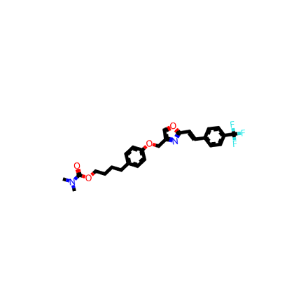 CN(C)C(=O)OCCCCc1ccc(OCc2coc(C=Cc3ccc(C(F)(F)F)cc3)n2)cc1